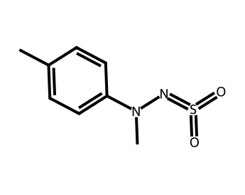 Cc1ccc(N(C)N=S(=O)=O)cc1